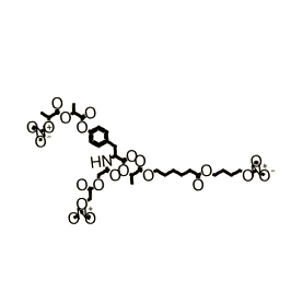 CC(OC(=O)C(Cc1ccc(OC(=O)C(C)OC(=O)C(C)O[N+](=O)[O-])cc1)NC(=O)COC(=O)CO[N+](=O)[O-])C(=O)OCCCCCC(=O)OCCCCO[N+](=O)[O-]